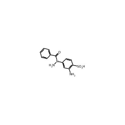 Nc1cc(N(N)C(=O)c2ccccc2)ccc1S(=O)(=O)O